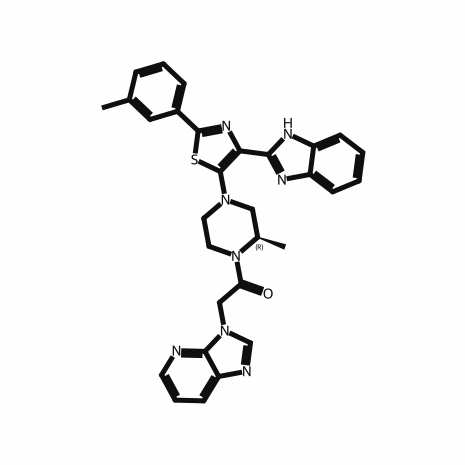 Cc1cccc(-c2nc(-c3nc4ccccc4[nH]3)c(N3CCN(C(=O)Cn4cnc5cccnc54)[C@H](C)C3)s2)c1